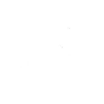 Cc1cc(C(CC(c2ccc(-c3ccc(OC(=O)O)c(Cl)c3)cc2)c2ccccc2C)=NO)ccn1